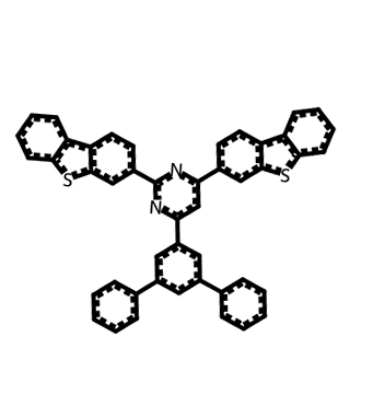 c1ccc(-c2cc(-c3ccccc3)cc(-c3cc(-c4ccc5c(c4)sc4ccccc45)nc(-c4ccc5c(c4)sc4ccccc45)n3)c2)cc1